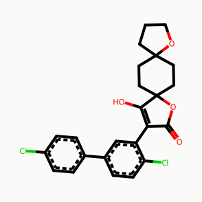 O=C1OC2(CCC3(CCCO3)CC2)C(O)=C1c1cc(-c2ccc(Cl)cc2)ccc1Cl